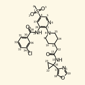 CS(=O)(=O)c1cnc(N2CCC(CC(=O)NC3(c4cocn4)CC3)CC2)c(NC(=O)c2cccc(Cl)c2)c1